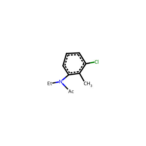 CCN(C(C)=O)c1cccc(Cl)c1C